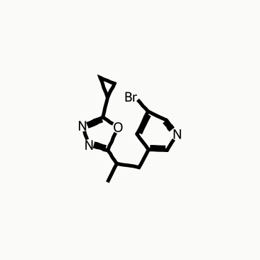 CC(Cc1cncc(Br)c1)c1nnc(C2CC2)o1